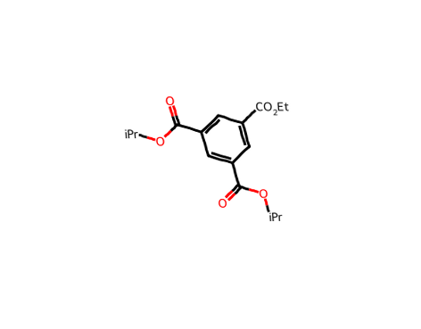 CCOC(=O)c1cc(C(=O)OC(C)C)cc(C(=O)OC(C)C)c1